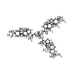 C[C@@]1(O)CC[C@@]2(C)C(CC[C@@H]3C2CC[C@]2(C)[C@@H](C(=O)COP(=O)(OCC(=O)[C@H]4CC[C@H]5[C@@H]6CCC7C[C@](C)(O)CC[C@]7(C)C6CC[C@]45C)OCC(=O)[C@H]4CC[C@H]5[C@@H]6CCC7C[C@](C)(O)CC[C@]7(C)C6CC[C@]45C)CC[C@@H]32)C1